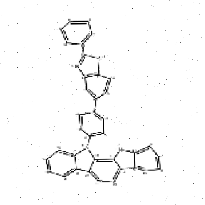 c1ccc(-c2nc3cc(-c4ccc(-n5c6ccccc6c6ccc7c8ccccc8[nH]c7c65)cc4)ccc3s2)cc1